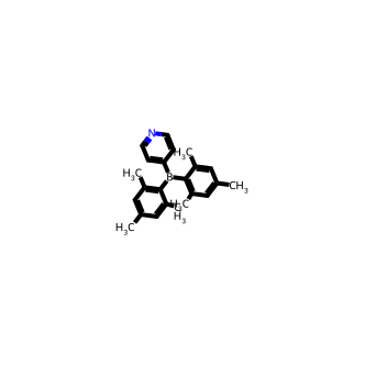 Cc1cc(C)c(B(c2ccncc2)c2c(C)cc(C)cc2C)c(C)c1